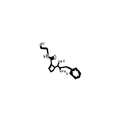 CC(C)CCNC(=O)C1=CCCC1C(O)C(N)Cc1ccccc1